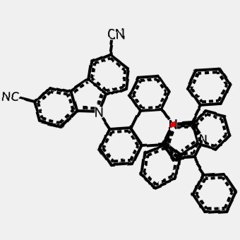 N#Cc1ccc2c(c1)c1cc(C#N)ccc1n2-c1cccc(-c2cc(-c3ccccc3)nc(-c3ccccc3)n2)c1-c1ccccc1-n1c2ccccc2c2ccccc21